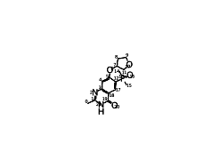 Cc1nc2cc(OC3CCOC3)c(P(C)(C)=O)cc2c(=O)[nH]1